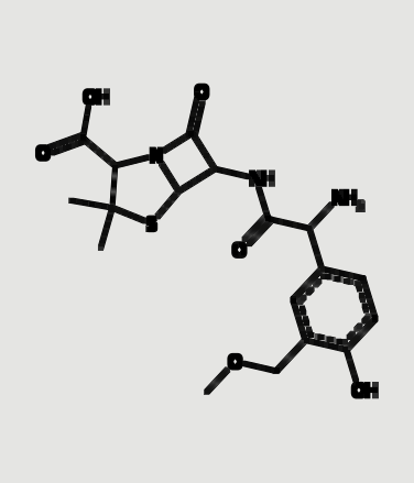 COCc1cc(C(N)C(=O)NC2C(=O)N3C2SC(C)(C)C3C(=O)O)ccc1O